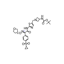 CC(C)(C)OC(=O)NC1CN(Cc2cnc(NC(=O)/C(=N/O[C@@H]3CCOC3)c3ccc(S(=O)(=O)C4CC4)cc3)s2)C1